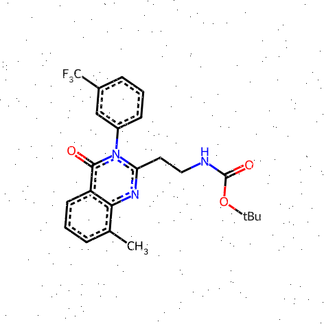 Cc1cccc2c(=O)n(-c3cccc(C(F)(F)F)c3)c(CCNC(=O)OC(C)(C)C)nc12